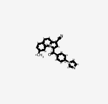 Cc1ccc2ccc3c(C#N)cc(C(=O)c4ccc(-n5ccnc5)cc4)n3c2c1